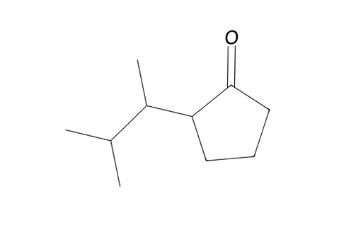 CC(C)C(C)C1CCCC1=O